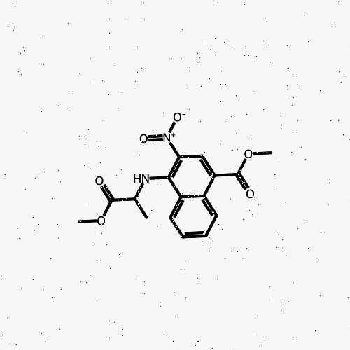 COC(=O)c1cc([N+](=O)[O-])c(NC(C)C(=O)OC)c2ccccc12